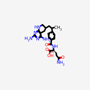 CC(CC1CNc2nc(N)nc(N)c2C1)c1ccc(C(=O)N[C@@H](CCC(N)=O)C(=O)O)cc1